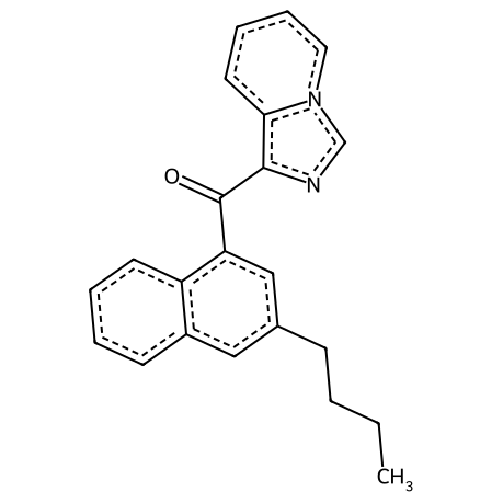 CCCCc1cc(C(=O)c2ncn3ccccc23)c2ccccc2c1